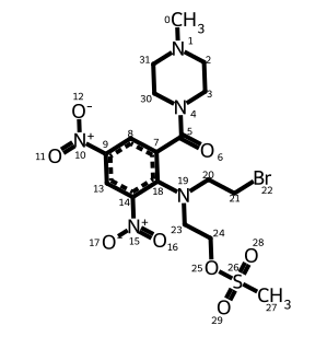 CN1CCN(C(=O)c2cc([N+](=O)[O-])cc([N+](=O)[O-])c2N(CCBr)CCOS(C)(=O)=O)CC1